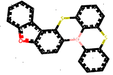 c1ccc2c(c1)Sc1cccc3c1B2c1ccc2oc4ccccc4c2c1S3